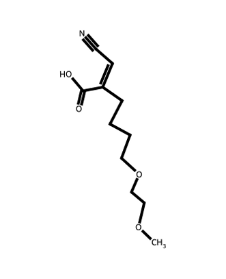 COCCOCCCCC(=CC#N)C(=O)O